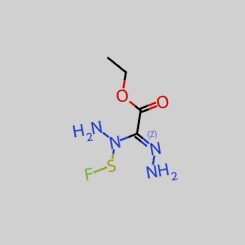 CCOC(=O)/C(=N/N)N(N)SF